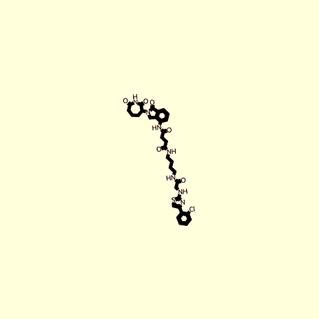 O=C(CCC(=O)Nc1cccc2c1CN(C1CCCC(=O)NC1=O)C2=O)NCCCCNC(=O)CNc1nc(-c2ccccc2Cl)cs1